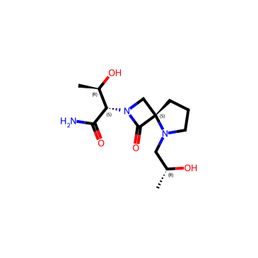 C[C@@H](O)CN1CCC[C@@]12CN([C@H](C(N)=O)[C@@H](C)O)C2=O